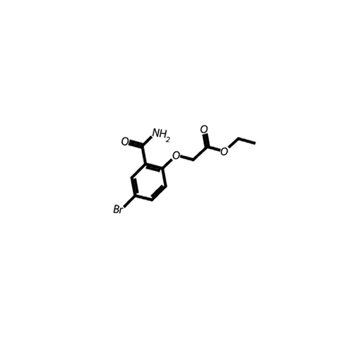 CCOC(=O)COc1ccc(Br)cc1C(N)=O